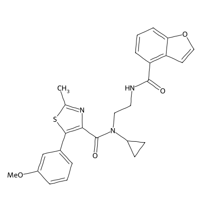 COc1cccc(-c2sc(C)nc2C(=O)N(CCNC(=O)c2cccc3occc23)C2CC2)c1